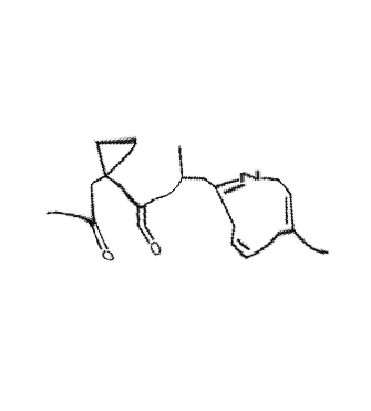 CC(=O)C1(C(=O)C(C)c2ccc(C)cn2)CC1